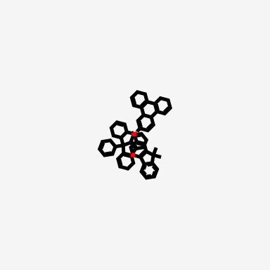 CC1(C)C2=C(CCC(N(C3=CC4C5=C(CCC=C5)C5=C(C=CCC5)C4C=C3)C3C=CCCC3C3(C4C=CC=CC4)C4=C(CCC=C4)C4=C3C=CCC4)=C2)c2ccccc21